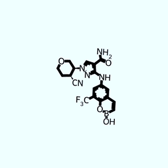 N#C[C@@H]1CCOC[C@H]1n1cc(C(N)=O)c(Nc2cc3c(c(C(F)(F)F)c2)OB(O)C=C3)n1